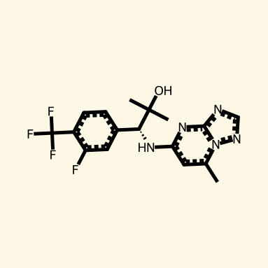 Cc1cc(N[C@H](c2ccc(C(F)(F)F)c(F)c2)C(C)(C)O)nc2ncnn12